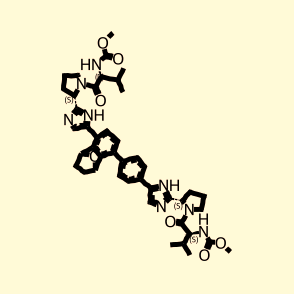 COC(=O)N[C@H](C(=O)N1CCC[C@H]1c1ncc(-c2ccc(-c3ccc(-c4cnc([C@@H]5CCCN5C(=O)[C@H](NC(=O)OC)C(C)C)[nH]4)c4c3C3CCC4O3)cc2)[nH]1)C(C)C